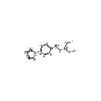 CCN(CC)CSc1ccc(-n2cnnn2)cc1